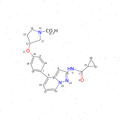 O=C(Nc1cc2c(-c3ccc(OC4CCN(C(=O)O)C4)cc3)cccn2n1)C1CC1